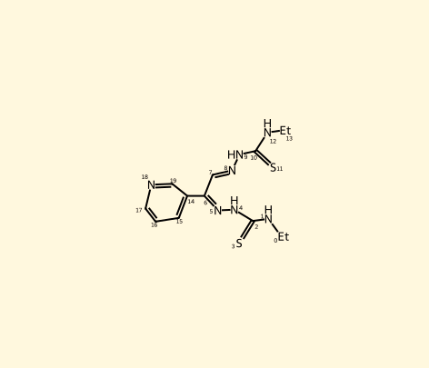 CCNC(=S)N/N=C(\C=N\NC(=S)NCC)c1cccnc1